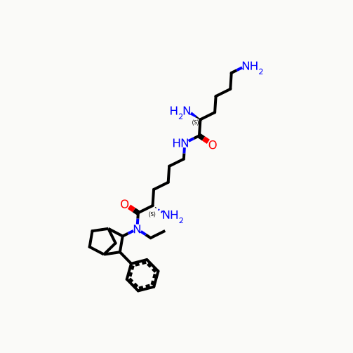 CCN(C(=O)[C@@H](N)CCCCNC(=O)[C@@H](N)CCCCN)C1C2CCC(C2)C1c1ccccc1